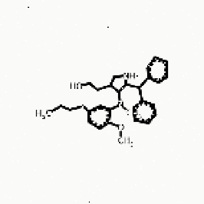 CCCCc1ccc(OC)c(N(C)C2C(CCO)CNC2C(c2ccccc2)c2ccccc2)c1